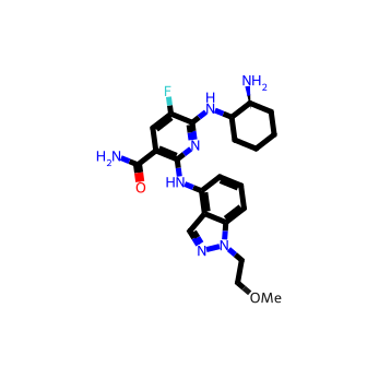 COCCn1ncc2c(Nc3nc(NC4CCCC[C@@H]4N)c(F)cc3C(N)=O)cccc21